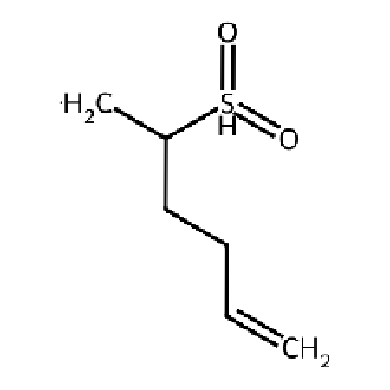 [CH2]C(CCC=C)[SH](=O)=O